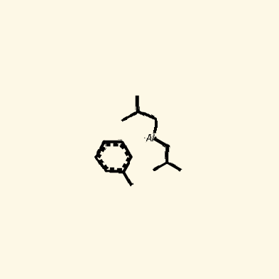 CC(C)[CH2][Al][CH2]C(C)C.Cc1ccccc1